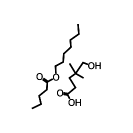 CC(C)(CO)CCC(=O)O.CCCCCCCOC(=O)CCCC